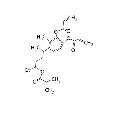 C=CC(=O)Oc1ccc(C(C)CCC(CC)OC(=O)C(=C)C)c(C)c1OC(=O)C=C